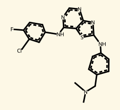 CN(C)Cc1ccc(Nc2nc3ncnc(Nc4ccc(F)c(Cl)c4)c3s2)cc1